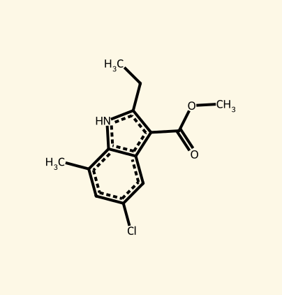 CCc1[nH]c2c(C)cc(Cl)cc2c1C(=O)OC